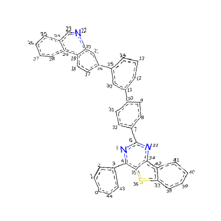 c1ccc(-c2nc(-c3ccc(-c4cccc(-c5ccc6c(c5)ncc5ccccc56)c4)cc3)nc3c2sc2ccccc23)cc1